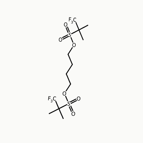 CC(C)(C(F)(F)F)S(=O)(=O)OCCCCOS(=O)(=O)C(C)(C)C(F)(F)F